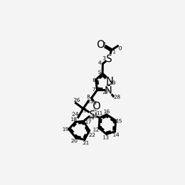 CC(=O)SCc1cc(CO[Si](c2ccccc2)(c2ccccc2)C(C)(C)C)n(C)n1